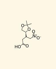 CC1(C)OC[C@H](C(CC(=O)O)C[N+](=O)[O-])O1